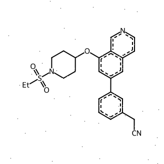 CCS(=O)(=O)N1CCC(Oc2cc(-c3cccc(CC#N)c3)cc3ccncc23)CC1